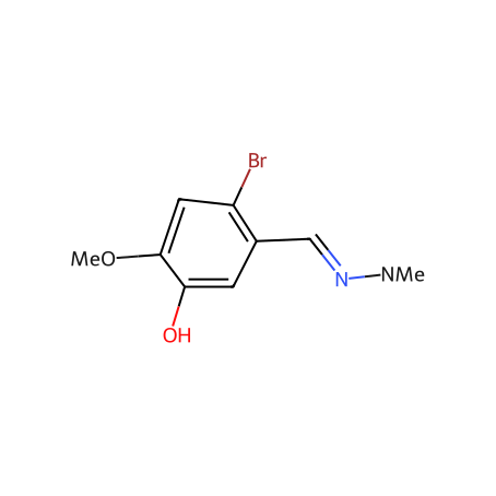 CN/N=C/c1cc(O)c(OC)cc1Br